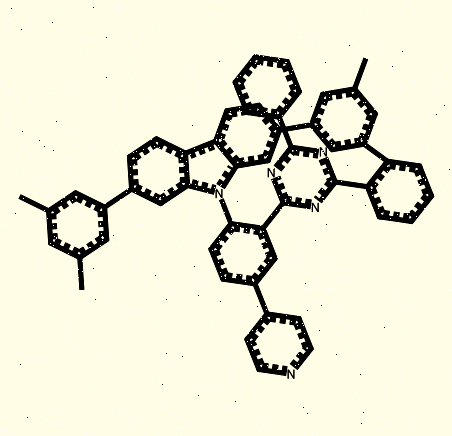 Cc1cc(C)cc(-c2ccc3c4ccc(-c5cc(C)cc(C)c5)cc4n(-c4ccc(-c5ccncc5)cc4-c4nc(-c5ccccc5)nc(-c5ccccc5)n4)c3c2)c1